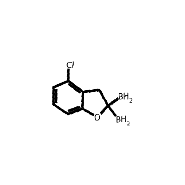 BC1(B)Cc2c(Cl)cccc2O1